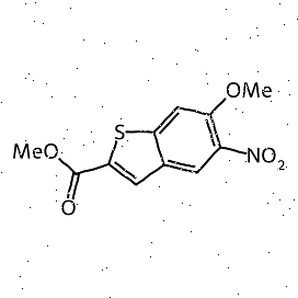 COC(=O)c1cc2cc([N+](=O)[O-])c(OC)cc2s1